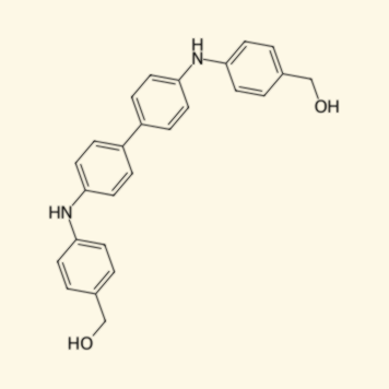 OCc1ccc(Nc2ccc(-c3ccc(Nc4ccc(CO)cc4)cc3)cc2)cc1